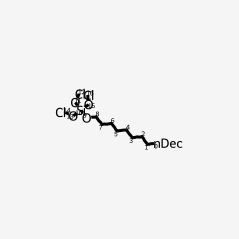 CCCCCCCCCCCCCCCCCCO[Si](OCl)(OCl)OCl